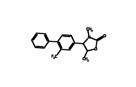 CC1OC(=O)N(C)C1c1ccc(-c2ccccc2)c(C(F)(F)F)c1